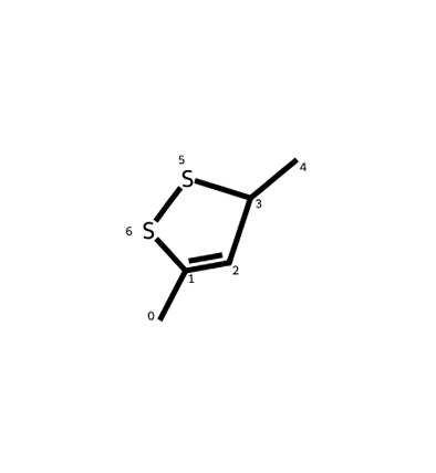 CC1=CC(C)SS1